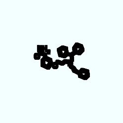 NC(=O)Cc1cccc(OCCCN(CC=Cc2ccccc2)CC(c2ccccc2)c2ccccc2)c1